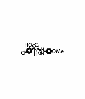 COc1ccc(-c2noc([C@H](CC(=O)O)NC(=O)c3ccc(Cl)cc3)n2)cc1